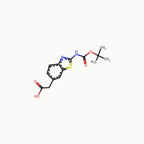 CC(C)(C)OC(=O)Nc1nc2ccc(CC(=O)O)cc2s1